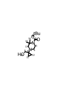 CC(C)(C)OC(=O)N1CCN(C2(CO)CC2)CC1(C)C